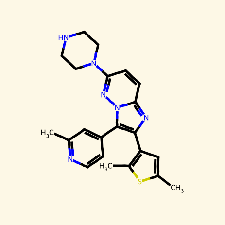 Cc1cc(-c2c(-c3cc(C)sc3C)nc3ccc(N4CCNCC4)nn23)ccn1